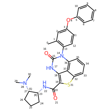 Cc1cc(Oc2ccccc2)ccc1N1C(=O)Nc2c(C(=O)N[C@@H]3CCC[C@@H]3N(C)C)sc3cccc1c23